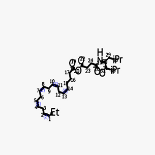 CC/C=C\C/C=C\C/C=C\C/C=C\C/C=C\CCCC(=O)OC(=O)CCC(=O)N[C@@H](CC(C)C)C(=O)C(C)C